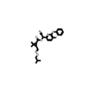 CC(C)CON=CC1C(C(=O)OC(C#N)c2ccc(F)c(Oc3ccccc3)n2)C1(C)C